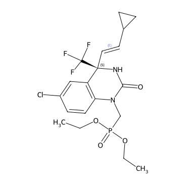 CCOP(=O)(CN1C(=O)N[C@](/C=C/C2CC2)(C(F)(F)F)c2cc(Cl)ccc21)OCC